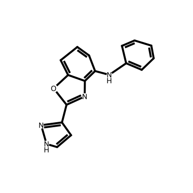 c1ccc(Nc2cccc3oc(-c4cc[nH]n4)nc23)cc1